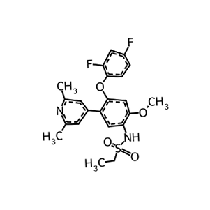 CCS(=O)(=O)Nc1cc(-c2cc(C)nc(C)c2)c(Oc2ccc(F)cc2F)cc1OC